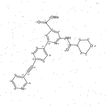 COC(=O)c1cc(NC(=O)C2CCOCC2)nc(-c2ccc(C#Cc3cccnc3)cc2)c1